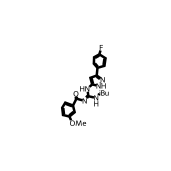 CCC(C)N/C(=N/C(=O)c1cccc(OC)c1)Nc1cc(-c2ccc(F)cc2)n[nH]1